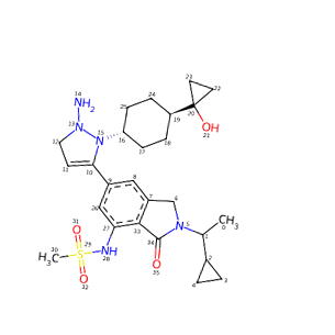 CC(C1CC1)N1Cc2cc(C3=CCN(N)N3[C@H]3CC[C@H](C4(O)CC4)CC3)cc(NS(C)(=O)=O)c2C1=O